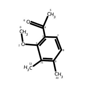 COc1c(C(C)=O)ccc(C)c1C